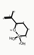 C=C(C)C1CCC[Si](O)(O)O1